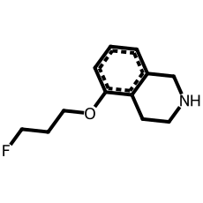 FCCCOc1cccc2c1CCNC2